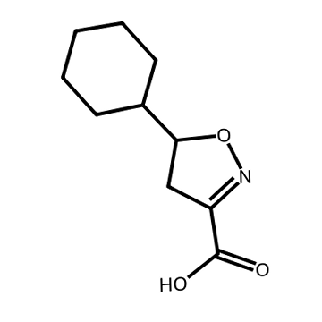 O=C(O)C1=NOC(C2CCCCC2)C1